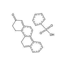 O=C1C=c2ccc3c(c2CC1)CC=c1ccccc1=3.O=S(=O)(O)c1ccccc1